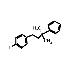 [CH2][C@](C)(CCc1ccc(F)cc1)c1ccccc1